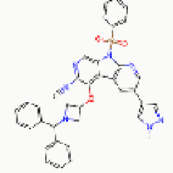 [C-]#[N+]c1ncc2c(c1OC1CN(C(c3ccccc3)c3ccccc3)C1)c1cc(-c3cnn(C)c3)cnc1n2S(=O)(=O)c1ccccc1